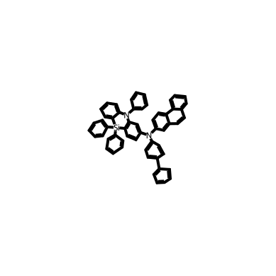 c1ccc(-c2ccc(N(c3ccc4c(c3)N(c3ccccc3)c3ccccc3[Si]4(c3ccccc3)c3ccccc3)c3ccc4c(ccc5ccccc54)c3)cc2)cc1